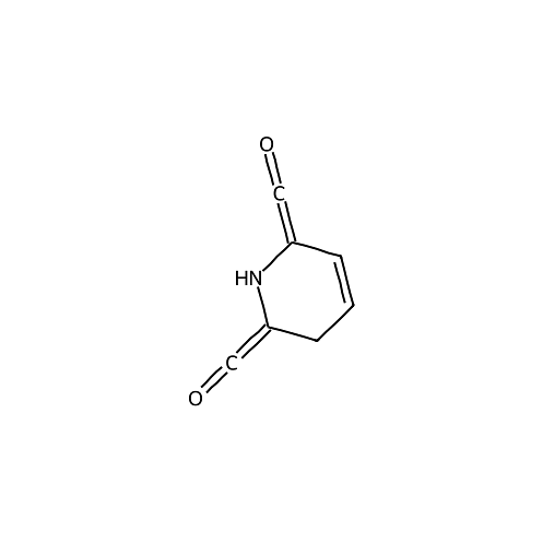 O=C=C1C=CCC(=C=O)N1